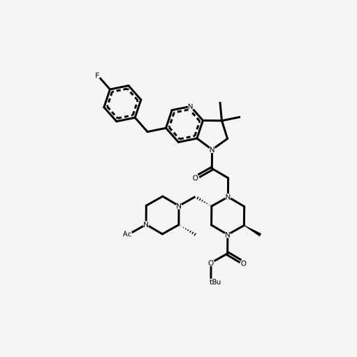 CC(=O)N1CCN(C[C@H]2CN(C(=O)OC(C)(C)C)[C@H](C)CN2CC(=O)N2CC(C)(C)c3ncc(Cc4ccc(F)cc4)cc32)[C@H](C)C1